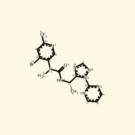 C[C@H](NC(=O)N(C)c1cnc(C(F)(F)F)cc1Br)c1ncnn1-c1ncccn1